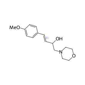 COc1ccc(/C=C/C(O)CN2CCOCC2)cc1